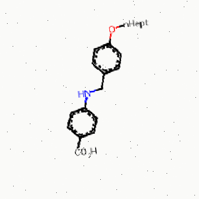 CCCCCCCOc1ccc(CNc2ccc(C(=O)O)cc2)cc1